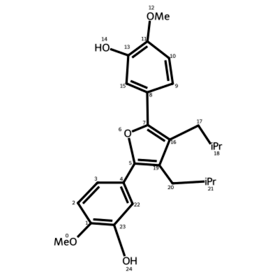 COc1ccc(-c2oc(-c3ccc(OC)c(O)c3)c(CC(C)C)c2CC(C)C)cc1O